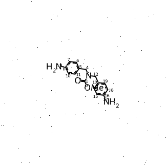 COC(=O)N(Cc1ccc(N)cc1)Cc1ccc(N)cc1